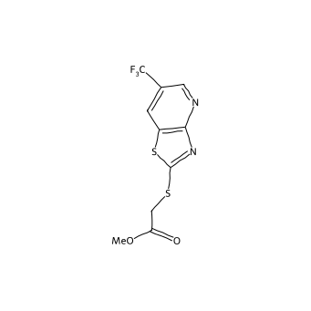 COC(=O)CSc1nc2ncc(C(F)(F)F)cc2s1